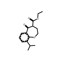 CCOC(=O)C1CCOc2c(cccc2C(C)C)C1=O